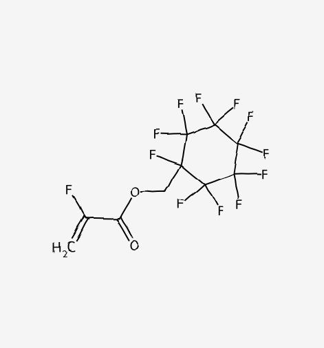 C=C(F)C(=O)OCC1(F)C(F)(F)C(F)(F)C(F)(F)C(F)(F)C1(F)F